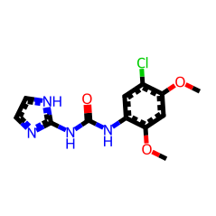 COc1cc(OC)c(NC(=O)Nc2ncc[nH]2)cc1Cl